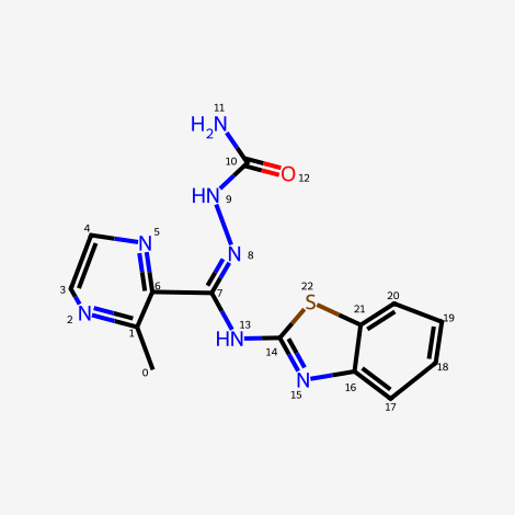 Cc1nccnc1C(=NNC(N)=O)Nc1nc2ccccc2s1